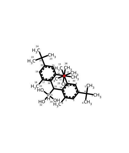 Cc1cc(C(C)(C)C)cc(C(C)(C)C)c1C(c1c(C)cc(C(C)(C)C)cc1C(C)(C)C)[PH](O)(O)O